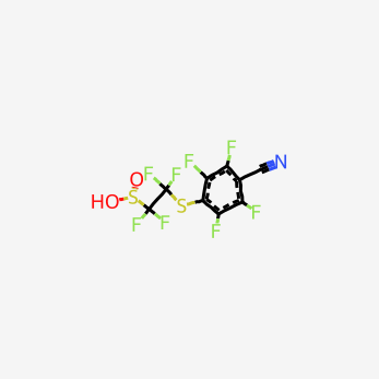 N#Cc1c(F)c(F)c(SC(F)(F)C(F)(F)S(=O)O)c(F)c1F